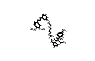 COc1ccc(CCCC2=CC(OCCNCCCOC(=O)N[C@H](CCN(CC(C)C)S(=O)(=O)c3ccc(N)cc3)Cc3ccccc3)CC=C2)cc1OC